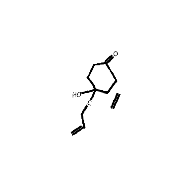 C=C.C=CCCC1(O)CCC(=O)CC1